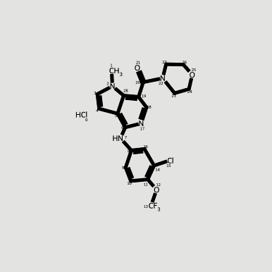 Cl.Cn1ccc2c(Nc3ccc(OC(F)(F)F)c(Cl)c3)ncc(C(=O)N3CCOCC3)c21